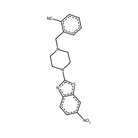 N#Cc1ccccc1CN1CCN(c2nc3ccc([N+](=O)[O-])cc3s2)CC1